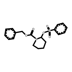 O=C(OCc1ccccc1)N1CCCCC1OS(=O)(=O)c1ccccc1